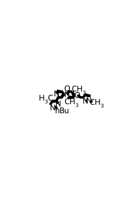 CCCCc1ncc(C)c(-c2cc(-n3c(C)cc(OCc4ccn(C)n4)c(C)c3=O)ccn2)n1